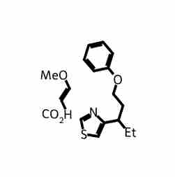 CCC(CCOc1ccccc1)c1cscn1.COC=CC(=O)O